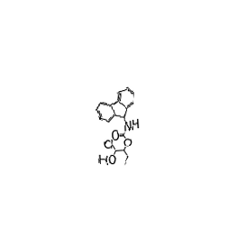 CCC(OC(=O)NC1c2ccccc2-c2ccccc21)C(O)Cl